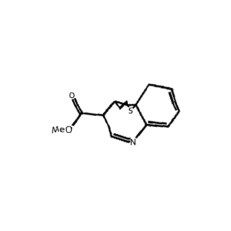 COC(=O)C1C=NC2=CC=CCC23SCCC13